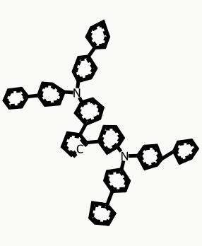 c1ccc(-c2ccc(N(c3ccc(-c4ccccc4)cc3)c3cccc(-c4ccccc4-c4cccc(N(c5ccc(-c6ccccc6)cc5)c5ccc(-c6ccccc6)cc5)c4)c3)cc2)cc1